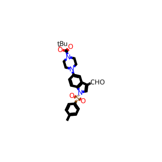 Cc1ccc(S(=O)(=O)n2cc(C=O)c3cc(N4CCN(C(=O)OC(C)(C)C)CC4)ccc32)cc1